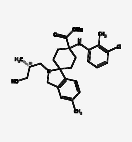 COC(=O)C1(Nc2cccc(Cl)c2C)CCC2(CC1)c1ccc(C)cc1CN2C[C@@H](C)CO